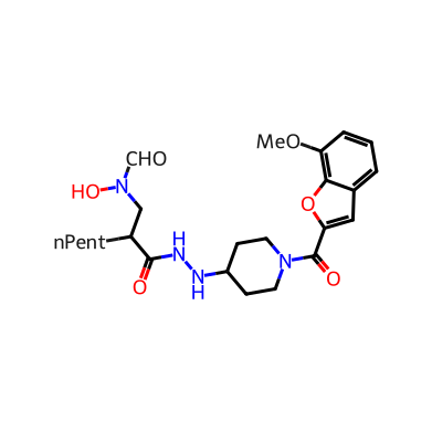 CCCCCC(CN(O)C=O)C(=O)NNC1CCN(C(=O)c2cc3cccc(OC)c3o2)CC1